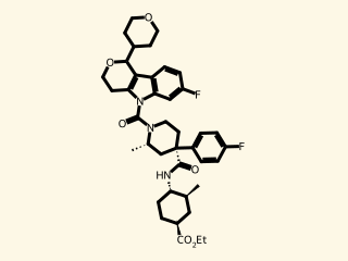 CCOC(=O)[C@H]1CC[C@H](NC(=O)[C@@]2(c3ccc(F)cc3)CCN(C(=O)n3c4c(c5ccc(F)cc53)C(C3CCOCC3)OCC4)[C@@H](C)C2)[C@@H](C)C1